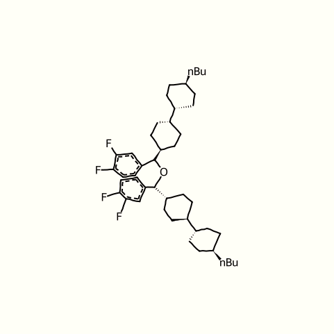 CCCC[C@H]1CC[C@H]([C@H]2CC[C@H](C(OC(c3ccc(F)c(F)c3)[C@H]3CC[C@H]([C@H]4CC[C@H](CCCC)CC4)CC3)c3ccc(F)c(F)c3)CC2)CC1